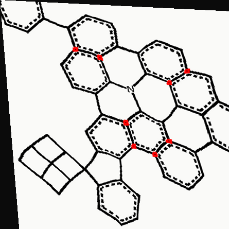 c1ccc(-c2ccc(-c3ccccc3N(c3ccccc3-c3ccc4c(c3)C3(c5ccccc5-4)C4CC5CC6CC3C564)c3ccccc3-c3cccc4cccc(-c5ccccc5)c34)cc2)cc1